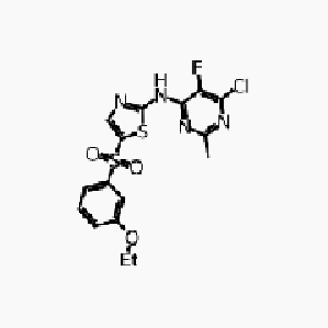 CCOc1cccc(S(=O)(=O)c2cnc(Nc3nc(C)nc(Cl)c3F)s2)c1